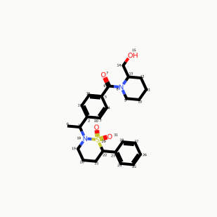 CC(c1ccc(C(=O)N2CCCCC2CO)cc1)N1CCCC(c2ccccc2)S1(=O)=O